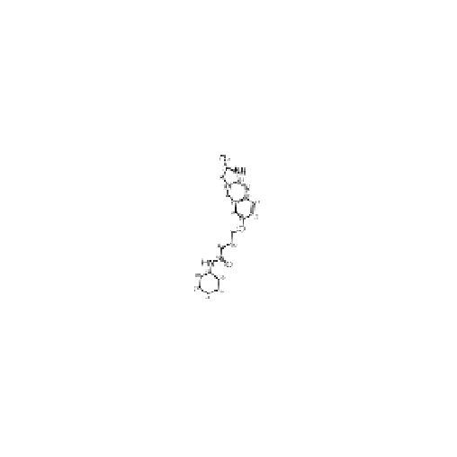 O=C1CN2Cc3cc(OCCCC(=O)NC4CCCCC4)ccc3N=C2N1